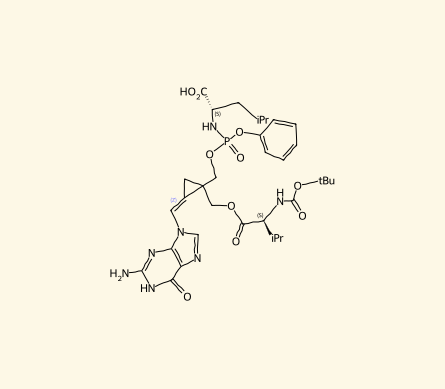 CC(C)C[C@H](NP(=O)(OCC1(COC(=O)[C@@H](NC(=O)OC(C)(C)C)C(C)C)C/C1=C/n1cnc2c(=O)[nH]c(N)nc21)Oc1ccccc1)C(=O)O